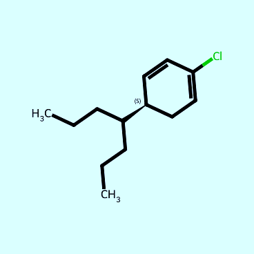 CCCC(CCC)[C@H]1C=CC(Cl)=CC1